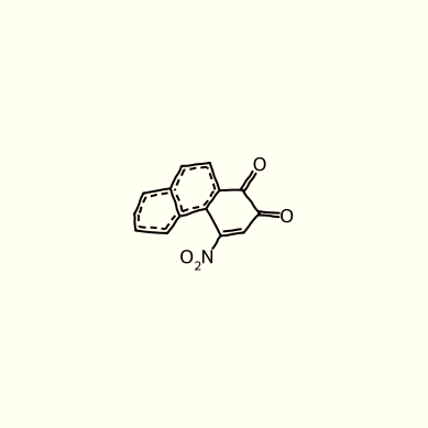 O=C1C=C([N+](=O)[O-])c2c(ccc3ccccc23)C1=O